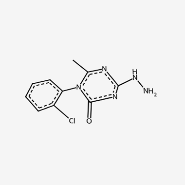 Cc1nc(NN)nc(=O)n1-c1ccccc1Cl